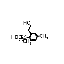 CS(=O)(=O)O.Cc1ccc(S(=O)(=O)O)c(CCO)c1